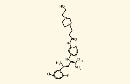 C/C(N)=C(/C=C(\N)c1cc(Cl)ccc1F)Nc1ccnc(NC(=O)CCN2CCN(CCO)CC2)c1